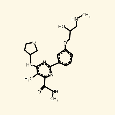 CNCC(O)COc1cccc(-c2nc(NC3CCOC3)c(C)c(C(=O)NC)n2)c1